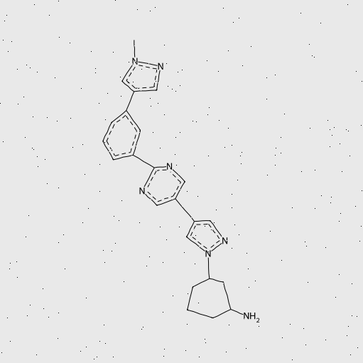 Cn1cc(-c2cccc(-c3ncc(-c4cnn(C5CCCC(N)C5)c4)cn3)c2)cn1